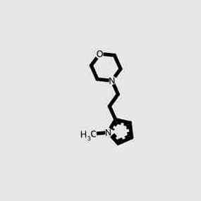 Cn1cccc1CCN1CCOCC1